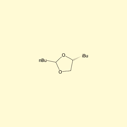 CCCCC1OCC([C@@H](C)CC)O1